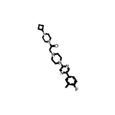 Cc1cc(-c2cnc(N3CCN(CC(=O)N4CCN(C5CCC5)CC4)CC3)cn2)ccc1F